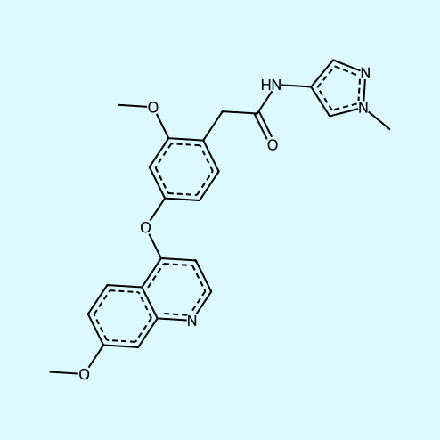 COc1ccc2c(Oc3ccc(CC(=O)Nc4cnn(C)c4)c(OC)c3)ccnc2c1